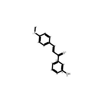 CSc1ccc(C=CC(=O)c2cccc(O)c2)cc1